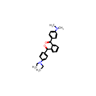 CCN(CC)c1ccc(C(=O)c2ccccc2C(=O)c2ccc(N(C)C)cc2)cc1